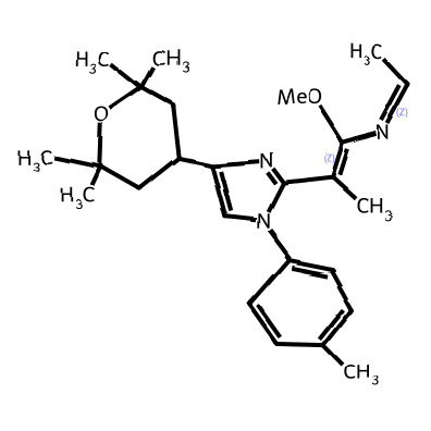 C/C=N\C(OC)=C(/C)c1nc(C2CC(C)(C)OC(C)(C)C2)cn1-c1ccc(C)cc1